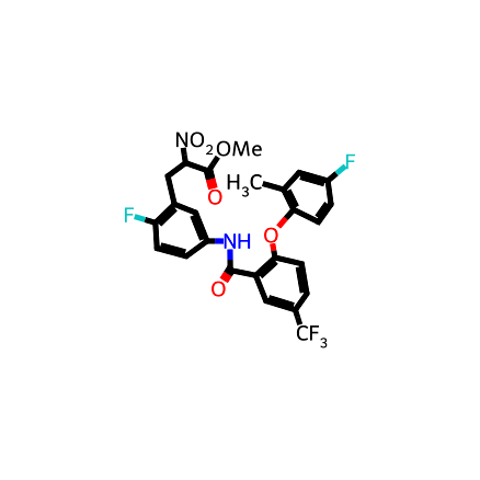 COC(=O)C(Cc1cc(NC(=O)c2cc(C(F)(F)F)ccc2Oc2ccc(F)cc2C)ccc1F)[N+](=O)[O-]